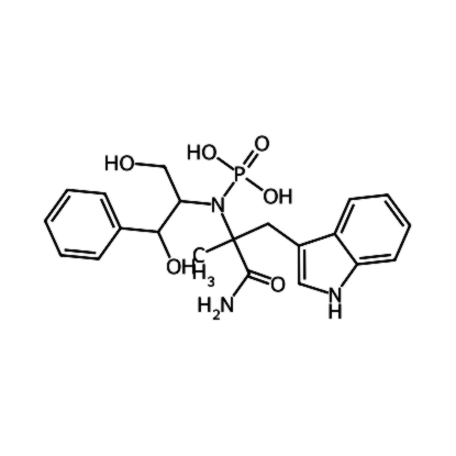 CC(Cc1c[nH]c2ccccc12)(C(N)=O)N(C(CO)C(O)c1ccccc1)P(=O)(O)O